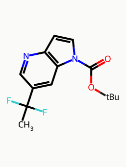 CC(C)(C)OC(=O)n1ccc2ncc(C(C)(F)F)cc21